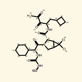 CC(C)(C)NC(=O)N[C@H](C(=O)N1CC2C([C@H]1C(=O)NC(CC1CCC1)C(=O)C(N)=O)C2(Cl)Cl)C1CCCCC1